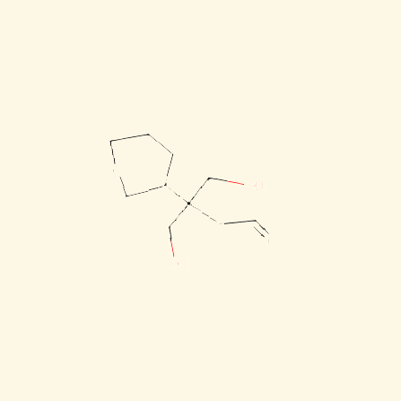 C=CCC(CO)(CO)C1CCCCC1